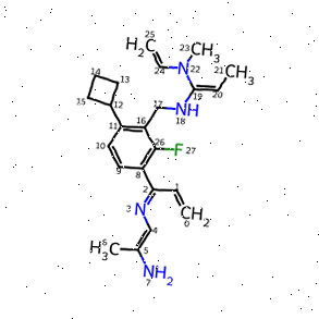 C=C/C(=N\C=C(/C)N)c1ccc(C2CCC2)c(CN/C(=C/C)N(C)C=C)c1F